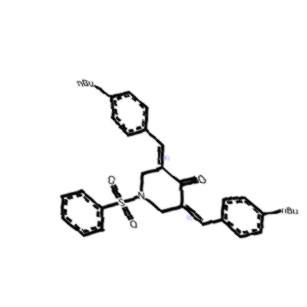 CCCCc1ccc(/C=C2/CN(S(=O)(=O)c3ccccc3)C/C(=C\c3ccc(CCCC)cc3)C2=O)cc1